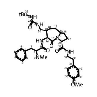 CNC(Cc1ccccc1)C(=O)NC1C(=O)N2C(CC[C@@H]1CNC(=O)NC(C)(C)C)CC[C@H]2C(=O)NCCc1ccc(OC)cc1